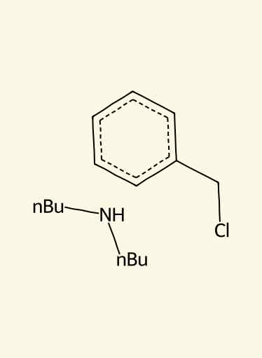 CCCCNCCCC.ClCc1ccccc1